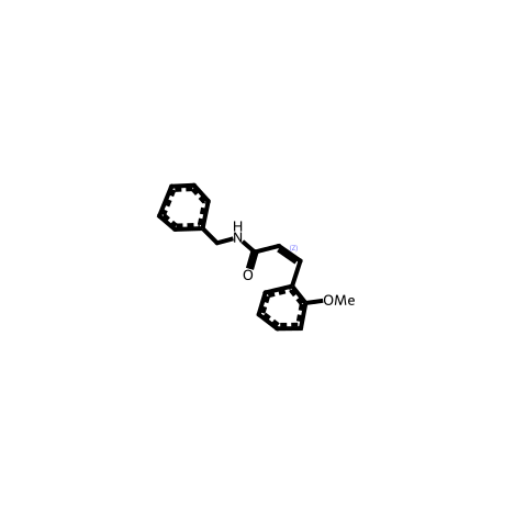 COc1ccccc1/C=C\C(=O)NCc1ccccc1